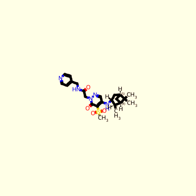 C[C@@H]1[C@H]2C[C@@H](C[C@H]1Nc1cnn(CC(=O)NCc3ccncc3)c(=O)c1S(C)(=O)=O)C2(C)C